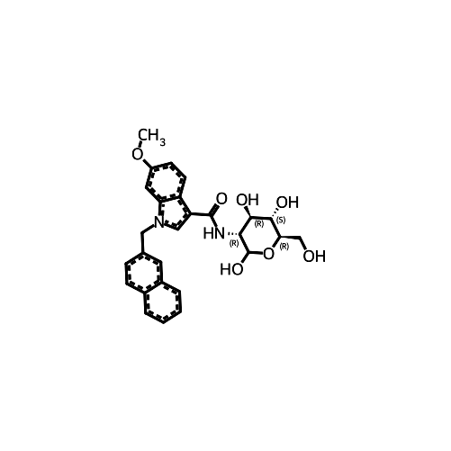 COc1ccc2c(C(=O)N[C@H]3C(O)O[C@H](CO)[C@@H](O)[C@@H]3O)cn(Cc3ccc4ccccc4c3)c2c1